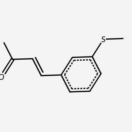 CSc1cccc(C=CC(C)=O)c1